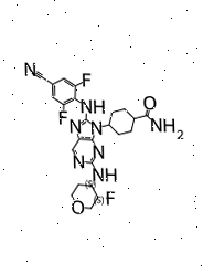 N#Cc1cc(F)c(Nc2nc3cnc(N[C@H]4CCOC[C@H]4F)nc3n2C2CCC(C(N)=O)CC2)c(F)c1